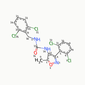 Cc1onc(-c2c(Cl)cccc2Cl)c1NC(=O)NCc1c(Cl)cccc1Cl